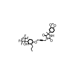 CCCc1cc(C(O)(C(F)(F)F)C(F)(F)F)ccc1OCC#CCN1C(=O)NC(C)(c2ccc3c(c2)OCO3)C1=O